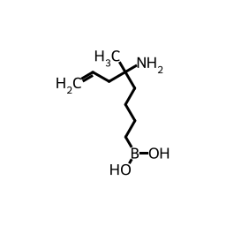 C=CCC(C)(N)CCCCB(O)O